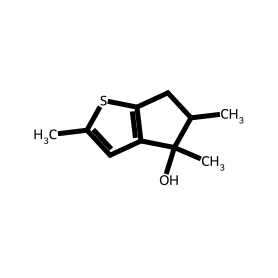 Cc1cc2c(s1)CC(C)C2(C)O